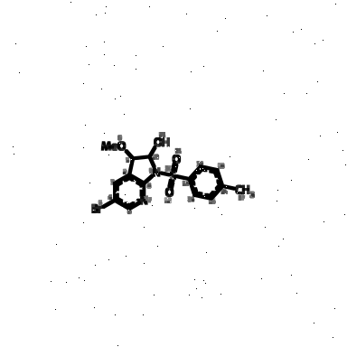 COC1c2cc(Br)cnc2N(S(=O)(=O)c2ccc(C)cc2)C1O